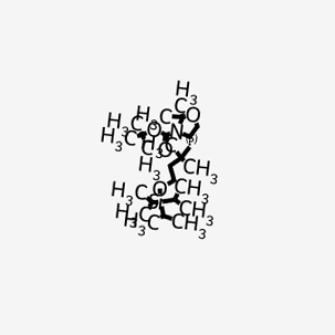 CC(C)[Si](OCCC(C)(C)C[C@H]1COC(C)(C)N1C(=O)OC(C)(C)C)(C(C)C)C(C)C